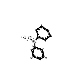 O=[C](O)[Sb]([c]1ccccc1)[c]1ccccc1